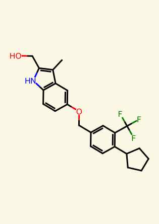 Cc1c(CO)[nH]c2ccc(OCc3ccc(C4CCCC4)c(C(F)(F)F)c3)cc12